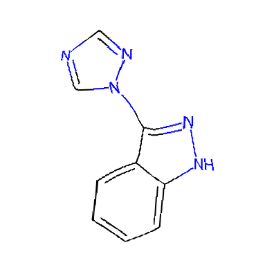 c1ccc2c(-n3cncn3)n[nH]c2c1